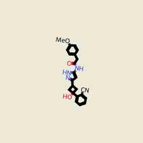 COc1ccc(CC(=O)Nc2cc(C3CC(O)(c4ccccc4C#N)C3)n[nH]2)cc1